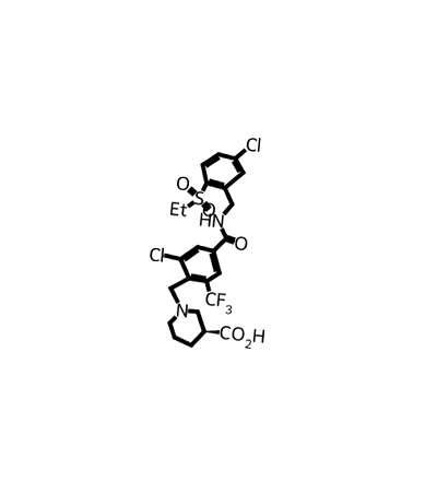 CCS(=O)(=O)c1ccc(Cl)cc1CNC(=O)c1cc(Cl)c(CN2CCC[C@H](C(=O)O)C2)c(C(F)(F)F)c1